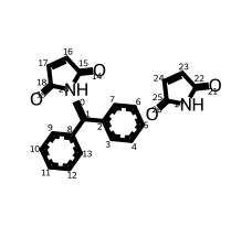 C=C(c1ccccc1)c1ccccc1.O=C1C=CC(=O)N1.O=C1C=CC(=O)N1